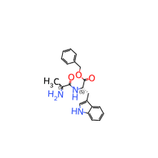 C[C@H](N)C(=O)N[C@@H](Cc1c[nH]c2ccccc12)C(=O)OCc1ccccc1